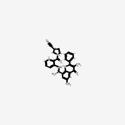 Cc1cc([C@@H](C)Nc2cccnc2C(=O)N2CCC(C#N)C2)c2oc(-c3ccccc3)c(C)c(=O)c2c1